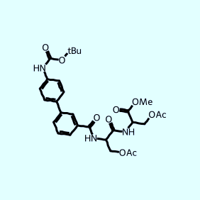 COC(=O)C(COC(C)=O)NC(=O)C(COC(C)=O)NC(=O)c1cccc(-c2ccc(NC(=O)OC(C)(C)C)cc2)c1